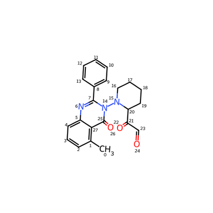 Cc1cccc2nc(-c3ccccc3)n(N3CCCCC3C(=O)C=O)c(=O)c12